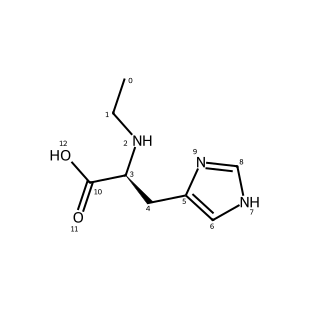 CCN[C@@H](Cc1c[nH]cn1)C(=O)O